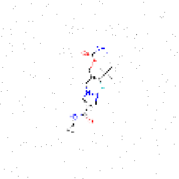 CC(C)(C)C(F)=C(COC(N)=O)Cn1cc(C(=O)NC2CC2)cn1